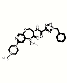 CN1CCN(c2cc3c(cn2)SC[C@H](NC(=O)c2nnn(Cc4ccccc4)n2)C(=O)N3C)CC1